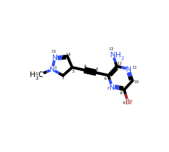 CN1CC(C#Cc2nc(Br)cnc2N)C=N1